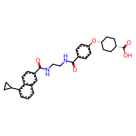 O=C(NCCNC(=O)c1ccc2c(C3CC3)cccc2c1)c1ccc(O[C@H]2CC[C@@H](C(=O)O)CC2)cc1